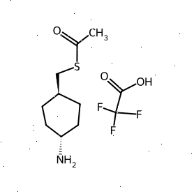 CC(=O)SC[C@H]1CC[C@H](N)CC1.O=C(O)C(F)(F)F